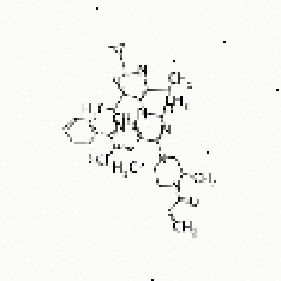 C=CC(=O)N1CC(C)N(c2nc(=O)n(-c3c(C(C)C)nc(C4CC4)nc3C(C)C)c3nc(-c4ccccc4F)c(Cl)cc23)CC1C